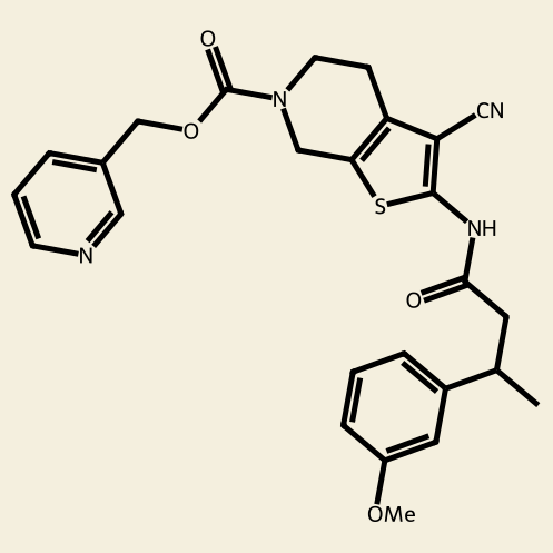 COc1cccc(C(C)CC(=O)Nc2sc3c(c2C#N)CCN(C(=O)OCc2cccnc2)C3)c1